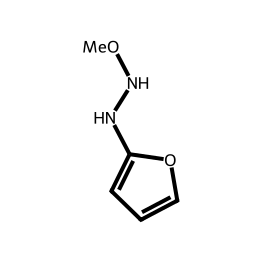 CONNc1ccco1